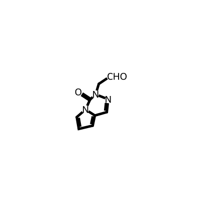 O=CCn1ncc2cccn2c1=O